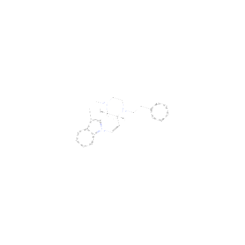 C1=Cn2c3c(c4ccccc42)CCN2CCN(CCc4ccccc4)[C@H]1[C@H]32